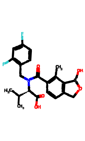 Cc1c(C(=O)N(Cc2ccc(F)cc2F)[C@H](C(=O)O)C(C)C)ccc2c1B(O)OC2